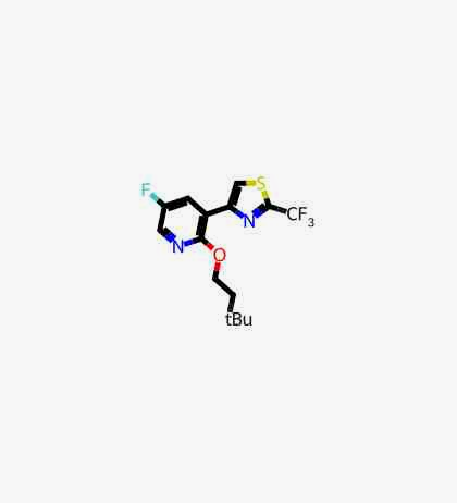 CC(C)(C)CCOc1ncc(F)cc1-c1csc(C(F)(F)F)n1